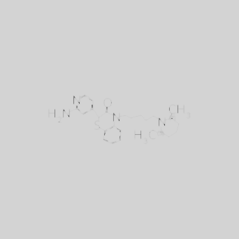 C[C@@H]1CCC[C@H](C)N1CCCCCN1C(=O)C(c2ccnc(N)c2)Sc2ccccc21